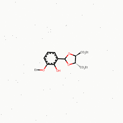 CCOC(=O)[C@@H]1OC(c2cccc(OCC)c2O)O[C@H]1C(=O)OCC